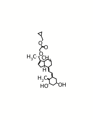 C=C1C(=CC=C2CCC[C@]3(C)C([C@H](C)OCC(=O)OCC4CC4)=CC[C@@H]23)C[C@@H](O)C[C@@H]1O